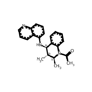 CC(=O)N1c2ccccc2[C@H](Nc2cccc3ncccc23)[C@@H](C)[C@@H]1C